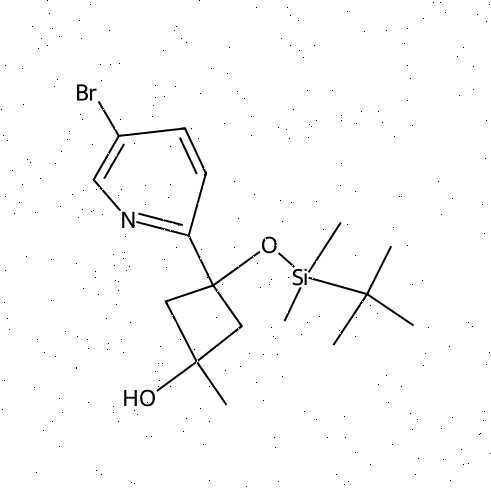 CC1(O)CC(O[Si](C)(C)C(C)(C)C)(c2ccc(Br)cn2)C1